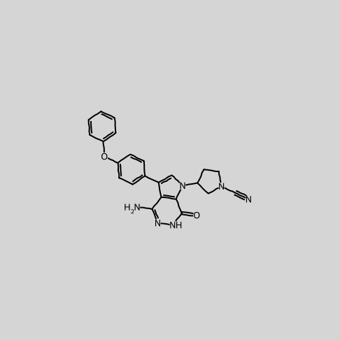 N#CN1CCC(n2cc(-c3ccc(Oc4ccccc4)cc3)c3c(N)n[nH]c(=O)c32)C1